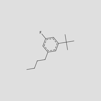 CCCCc1cc(F)cc(C(C)(C)C)c1